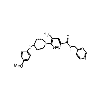 COc1ccc(OC2CCN(c3nnc(C(=O)NCc4ccncc4)cc3C)CC2)cc1